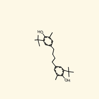 Cc1cc(CCCCc2cc(C)c(O)c(C(C)(C)C)c2)cc(C(C)(C)C)c1O